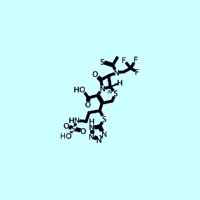 CC(=S)N(CC(F)(F)F)C1C(=O)N2C(C(=O)O)=C(C(CCNS(=O)(=O)O)Sc3nnn[nH]3)CS[C@@H]12